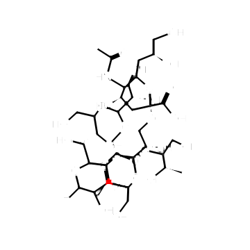 CC(=O)NC1C(C[C@H](O)CO)O[C@@](OC[C@H](O)C(OC2C(CO)OC(F)C(O)C2O)OC(CO)[C@@H](C)O[C@H](COC(OC(CO)[C@@H](C)O)[C@@H](O)CO)OOC(CO)[C@@H](C)O)(C(=O)O)C[C@H]1O